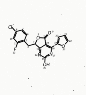 O=C1OC(Cc2ccc(Cl)cc2F)c2nc(O)nc(-c3ccco3)c21